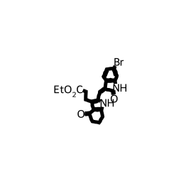 CCOC(=O)CCc1c(/C=C2\C(=O)Nc3cc(Br)ccc32)[nH]c2c1C(=O)CCC2